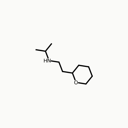 CC(C)NCCC1CCCCO1